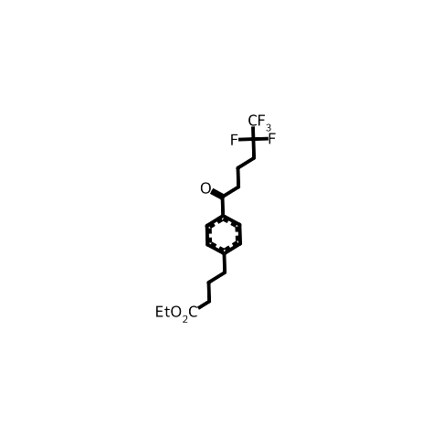 CCOC(=O)CCCc1ccc(C(=O)CCCC(F)(F)C(F)(F)F)cc1